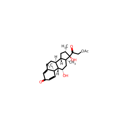 CC(=O)OCC(=O)[C@@]1(O)[C@@H](C)C[C@H]2[C@@H]3CCC4=CC(=O)C=C[C@]4(C)[C@H]3[C@@H](O)C[C@@]21C